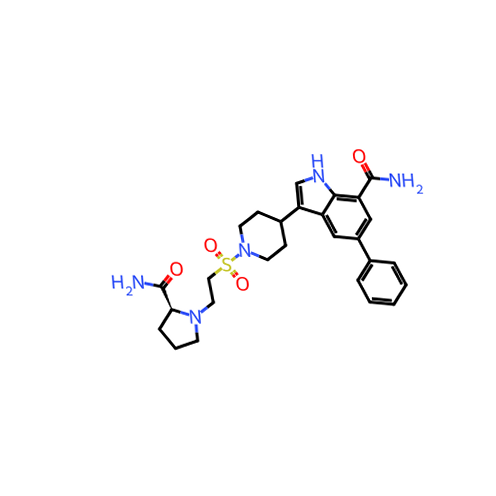 NC(=O)c1cc(-c2ccccc2)cc2c(C3CCN(S(=O)(=O)CCN4CCC[C@H]4C(N)=O)CC3)c[nH]c12